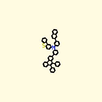 c1ccc(-c2c(-c3ccccc3)c3cc(-c4cccc(N(c5cccc(-c6ccc7ccccc7c6)c5)c5ccc6sc7ccccc7c6c5)c4)ccc3c3ccccc23)cc1